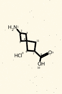 Cl.NC1CC2(C1)CC(C(=O)O)C2